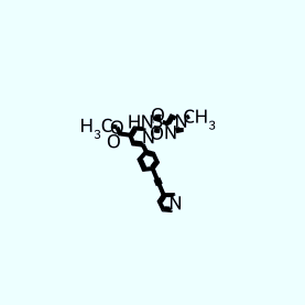 COC(=O)c1cc(NS(=O)(=O)c2cn(C)cn2)nc(-c2ccc(C#Cc3cccnc3)cc2)c1